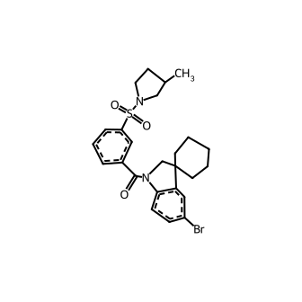 CC1CCN(S(=O)(=O)c2cccc(C(=O)N3CC4(CCCCC4)c4cc(Br)ccc43)c2)C1